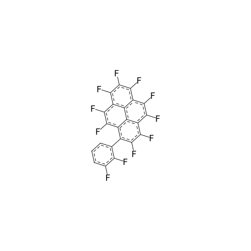 Fc1cccc(-c2c(F)c(F)c3c(F)c(F)c4c(F)c(F)c(F)c5c(F)c(F)c2c3c45)c1F